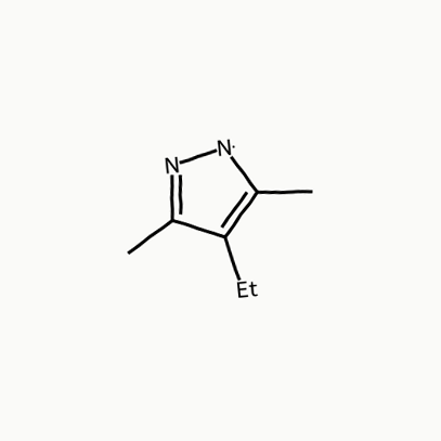 CCC1=C(C)[N]N=C1C